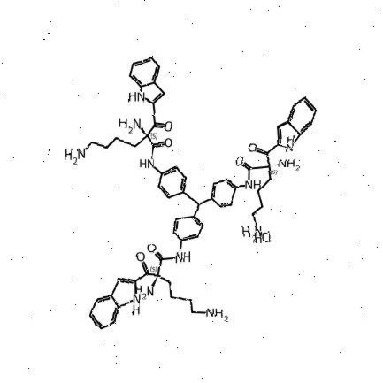 Cl.NCCCC[C@@](N)(C(=O)Nc1ccc(C(c2ccc(NC(=O)[C@](N)(CCCCN)C(=O)c3cc4ccccc4[nH]3)cc2)c2ccc(NC(=O)[C@](N)(CCCCN)C(=O)c3cc4ccccc4[nH]3)cc2)cc1)C(=O)c1cc2ccccc2[nH]1